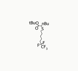 CCCCC(SCCCCCC(F)(F)C(F)(F)F)C(=O)OC(C)(C)C